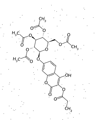 CCC(=O)Oc1c(O)c2ccc(O[C@@H]3O[C@H](COC(C)=O)[C@@H](OC(C)=O)[C@H](OC(C)=O)[C@H]3OC(C)=O)cc2oc1=O